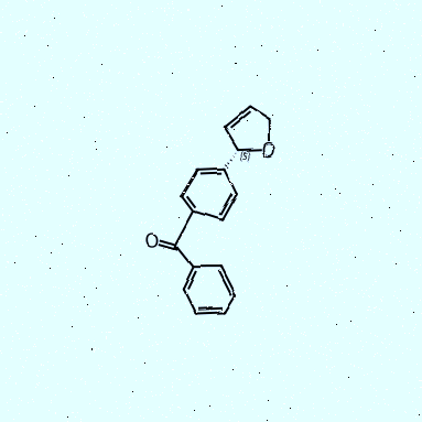 O=C(c1ccccc1)c1ccc([C@@H]2C=CCO2)cc1